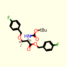 C[C@H](OCc1ccc(F)cc1)[C@H](NC(=O)OC(C)(C)C)C(=O)OCc1ccc(F)cc1